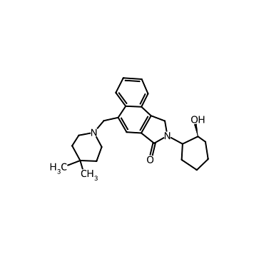 CC1(C)CCN(Cc2cc3c(c4ccccc24)CN(C2CCCC[C@@H]2O)C3=O)CC1